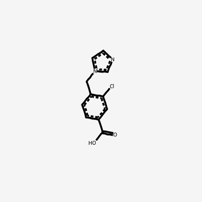 O=C(O)c1ccc(Cn2ccnc2)c(Cl)c1